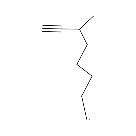 C#CC(C)CCCC[CH2]